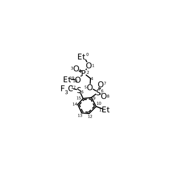 CCOP(=O)(COS(=O)(=O)c1c(CC)cccc1SC(F)(F)F)OCC